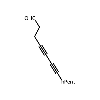 CCCCCC#CC#CCCC=O